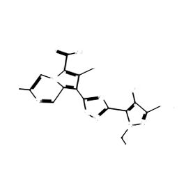 CCn1nc(C)c(O)c1-c1n[nH]c(-c2c(F)c(C(N)=O)n3cc(C)ncc23)n1